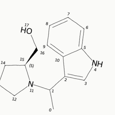 CC(c1c[nH]c2ccccc12)N1CCC[C@H]1CO